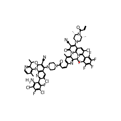 C=CC(=O)N1[C@H](C)CN(c2c(C#N)c(=O)n(-c3c(C)cc(/C=C\C(=O)N4CCN(c5c(C#N)c(=O)n(-c6c(C)ccnc6C(C)C)c6nc(-c7c(N)c(Cl)c(F)c(Cl)c7F)c(Cl)cc56)CC4)nc3C(C)C)c3nc(-c4c(F)c(F)c(F)c(F)c4F)c(Cl)cc23)C[C@@H]1C